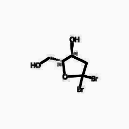 OC[C@H]1OC(Br)(Br)C[C@@H]1O